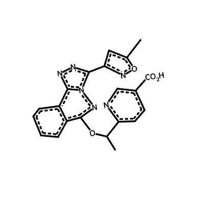 Cc1cc(-c2nnc3c4ccccc4c(OC(C)c4ccc(C(=O)O)cn4)nn23)no1